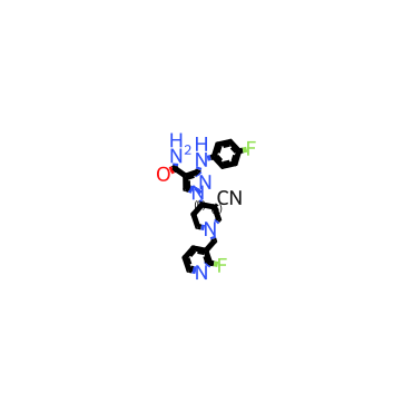 N#C[C@H]1CN(Cc2cccnc2F)CC[C@H]1n1cc(C(N)=O)c(Nc2ccc(F)cc2)n1